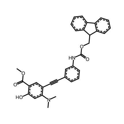 COC(=O)c1cc(C#Cc2cccc(NC(=O)OCC3c4ccccc4-c4ccccc43)c2)c(N(C)C)cc1O